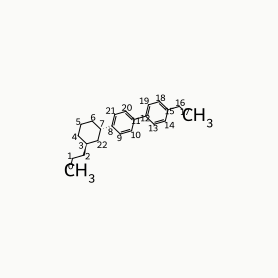 CCC[C@H]1CCC[C@H](c2ccc(-c3ccc(CC)cc3)cc2)C1